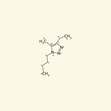 CCCCn1nnc(CC)c1C